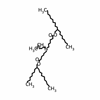 CCCCCCCCCCC(CCCCCCCC)COC(=O)CCCCCN(CCCCCC(=O)OCC(CCCCCCCC)CCCCCCCCCC)CCN(C)C